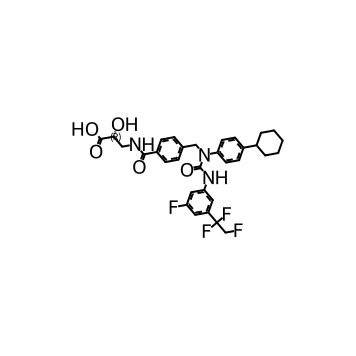 O=C(NC[C@@H](O)C(=O)O)c1ccc(CN(C(=O)Nc2cc(F)cc(C(F)(F)CF)c2)c2ccc(C3CCCCC3)cc2)cc1